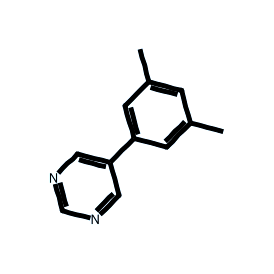 Cc1cc(C)cc(-c2cncnc2)c1